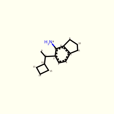 CC(c1ccc2c(c1N)CCC2)C1CCC1